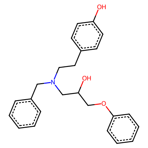 Oc1ccc(CCN(Cc2ccccc2)CC(O)COc2ccccc2)cc1